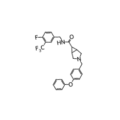 O=C(NCc1ccc(F)c(C(F)(F)F)c1)C1C2CN(Cc3ccc(Oc4ccccc4)cc3)CC21